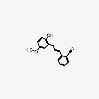 COc1ccc(O)c(CC=Cc2ccccc2C#N)c1